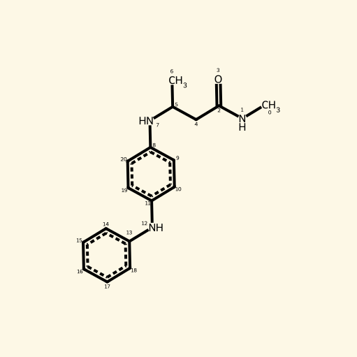 CNC(=O)CC(C)Nc1ccc(Nc2ccccc2)cc1